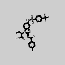 CCC(C(=O)O)n1c(=NC(=O)c2ccc(C)cc2)sc2cc(NS(=O)(=O)c3ccc(C(F)(F)F)cc3)ccc21